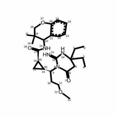 CCC1(CC)CC(=O)N(C(CCOC)[C@@H]2C[C@H]2C(=O)NC2c3ccccc3OCC2(C)C)C(=N)N1